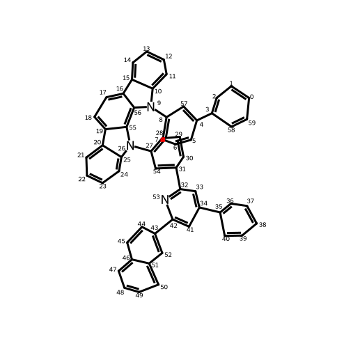 c1ccc(-c2cccc(-n3c4ccccc4c4ccc5c6ccccc6n(-c6cccc(-c7cc(-c8ccccc8)cc(-c8ccc9ccccc9c8)n7)c6)c5c43)c2)cc1